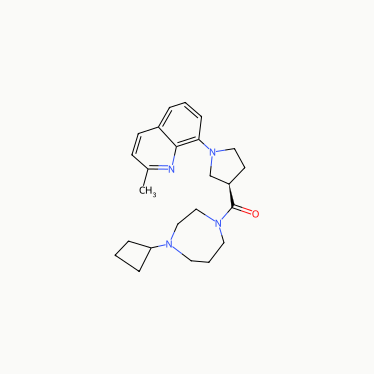 Cc1ccc2cccc(N3CC[C@@H](C(=O)N4CCCN(C5CCC5)CC4)C3)c2n1